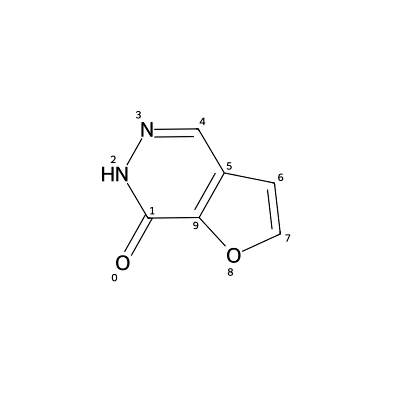 O=c1[nH]ncc2ccoc12